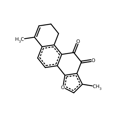 CC1=CCCc2c1ccc1c2C(=O)C(=O)c2c(C)coc2-1